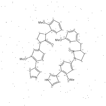 COc1cc(N2CCC(c3ccccc3OC)C2=O)ccc1-c1cnco1.COc1cccc(CC2CCN(c3ccc(-c4cn[nH]c4)c(OC)c3)C2=O)c1